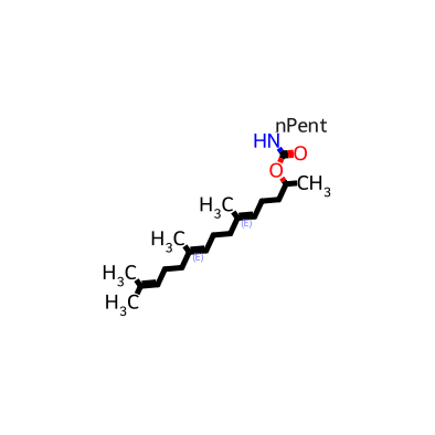 CCCCCNC(=O)OC(C)CC/C=C(\C)CC/C=C(\C)CCC=C(C)C